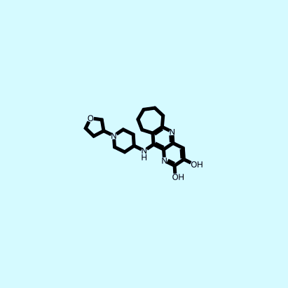 Oc1cc2nc3c(c(NC4CCN(C5CCOC5)CC4)c2nc1O)CCCCC3